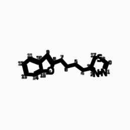 C1=NN=C(CCCCc2cc3ccccc3o2)CS1